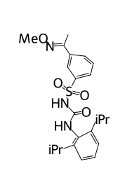 CON=C(C)c1cccc(S(=O)(=O)NC(=O)Nc2c(C(C)C)cccc2C(C)C)c1